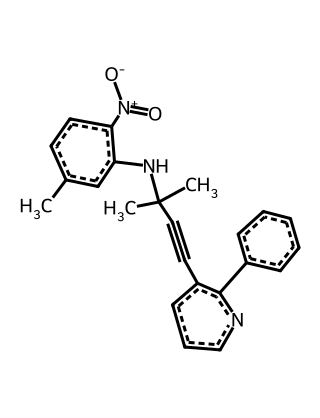 Cc1ccc([N+](=O)[O-])c(NC(C)(C)C#Cc2cccnc2-c2ccccc2)c1